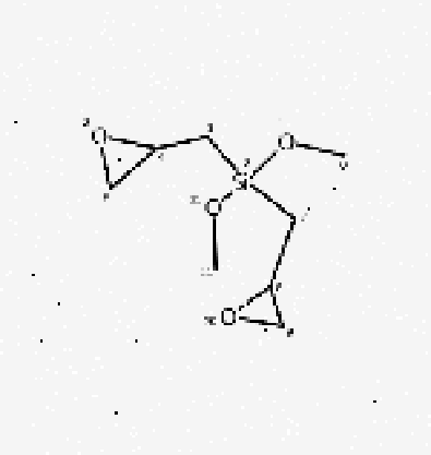 CO[Si](CC1CO1)(CC1CO1)OC